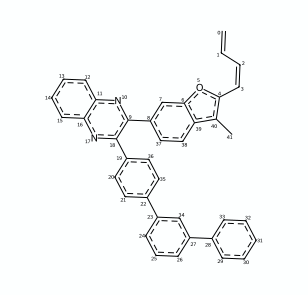 C=C/C=C\c1oc2cc(-c3nc4ccccc4nc3-c3ccc(-c4cccc(-c5ccccc5)c4)cc3)ccc2c1C